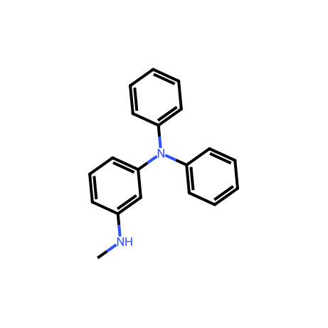 CNc1cccc(N(c2ccccc2)c2ccccc2)c1